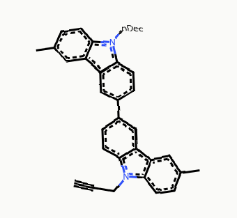 C#CCn1c2ccc(C)cc2c2cc(-c3ccc4c(c3)c3cc(C)ccc3n4CCCCCCCCCC)ccc21